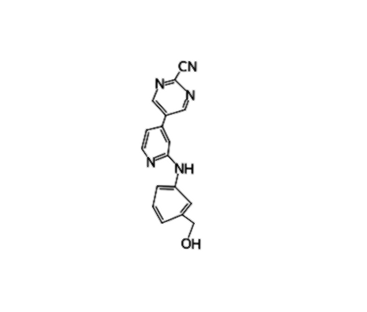 N#Cc1ncc(-c2ccnc(Nc3cccc(CO)c3)c2)cn1